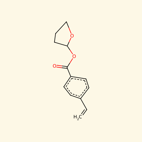 C=Cc1ccc(C(=O)OC2CCCO2)cc1